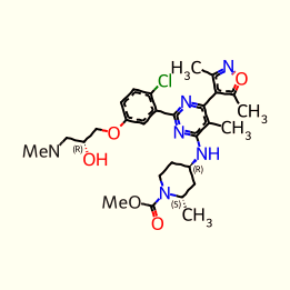 CNC[C@@H](O)COc1ccc(Cl)c(-c2nc(N[C@@H]3CCN(C(=O)OC)[C@@H](C)C3)c(C)c(-c3c(C)noc3C)n2)c1